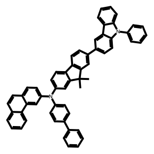 CC1(C)c2cc(-c3ccc4c(c3)c3ccccc3n4-c3ccccc3)ccc2-c2ccc(N(c3ccc(-c4ccccc4)cc3)c3ccc4ccc5ccccc5c4c3)cc21